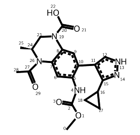 COC(=O)Nc1cc2c(cc1-c1c[nH]nc1C1CC1)N(C(=O)O)C[C@H](C)N2C(C)=O